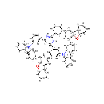 c1ccc(-c2nc(-c3cccc(-n4c5ccccc5c5ccc(-c6cccc7c6oc6ccccc67)cc54)c3)cc(-c3cccc(-n4c5ccccc5c5ccc(-c6cccc7c6oc6ccccc67)cc54)c3)n2)cc1